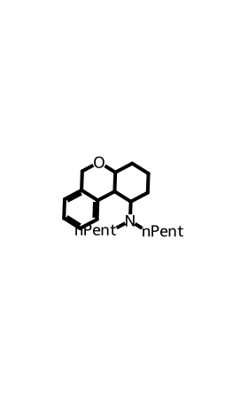 CCCCCN(CCCCC)C1CCCC2OCc3ccccc3C21